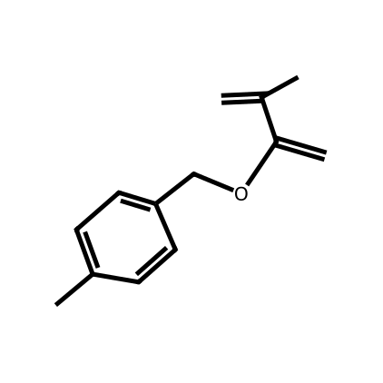 C=C(C)C(=C)OCc1ccc(C)cc1